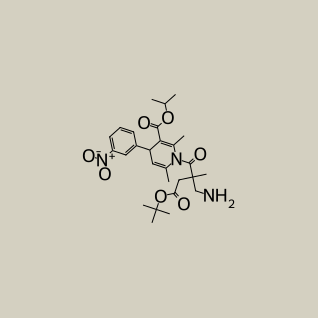 CC1=CC(c2cccc([N+](=O)[O-])c2)C(C(=O)OC(C)C)=C(C)N1C(=O)C(C)(CN)CC(=O)OC(C)(C)C